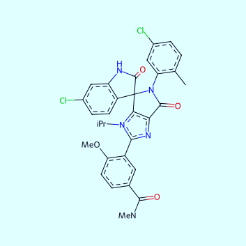 CNC(=O)c1ccc(OC)c(-c2nc3c(n2C(C)C)C2(C(=O)Nc4cc(Cl)ccc42)N(c2cc(Cl)ccc2C)C3=O)c1